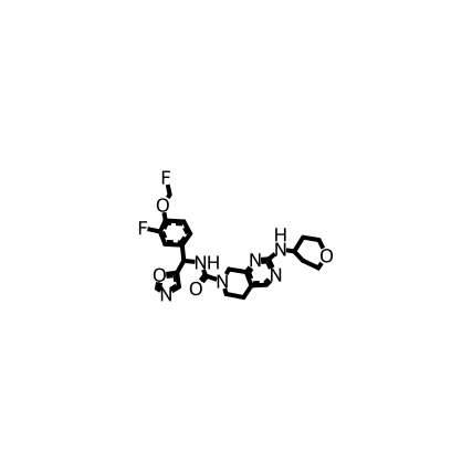 O=C(NC(c1ccc(OCF)c(F)c1)c1cnco1)N1CCc2cnc(NC3CCOCC3)nc2C1